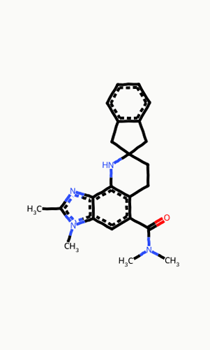 Cc1nc2c3c(c(C(=O)N(C)C)cc2n1C)CCC1(Cc2ccccc2C1)N3